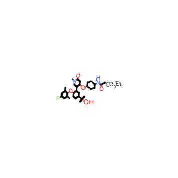 CCOC(=O)CC(=O)N[C@H]1CC[C@H](Oc2cc(=O)n(C)cc2-c2cc(C(C)(C)O)ccc2Oc2c(C)cc(F)cc2C)CC1